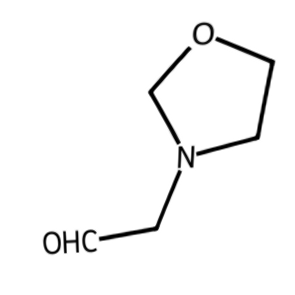 O=CCN1CCOC1